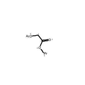 CC(=O)OCC(=O)OC(C)C